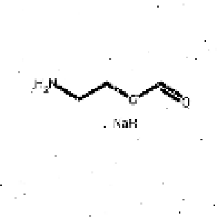 NCCOC=O.[NaH]